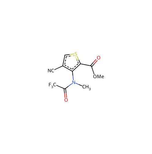 COC(=O)c1scc(C#N)c1N(C)C(=O)C(F)(F)F